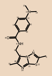 Cc1nn2c(CNC(=O)c3ccc(N(C)C)cc3)c(C)nc2s1